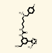 CN(CCCCNC(=O)Nc1cc(CO)cc(-c2nnnn2C)c1)Cc1ccc(F)cc1